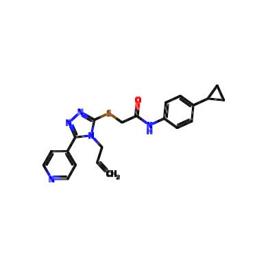 C=CCn1c(SCC(=O)Nc2ccc(C3CC3)cc2)nnc1-c1ccncc1